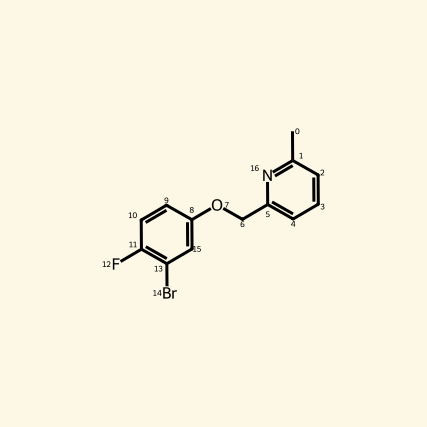 Cc1cccc(COc2ccc(F)c(Br)c2)n1